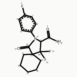 NC(=O)C1N(c2ccc(F)cc2)C(=O)C2(C[CH]CCC2)C1(F)F